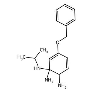 CC(C)NC1(N)C=C(OCc2ccccc2)C=CC1N